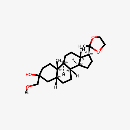 CCOCC1(O)CC[C@@]2(C)[C@H](CC[C@@H]3[C@@H]2CC[C@]2(C)[C@@H](C4(C)OCCO4)CC[C@@H]32)C1